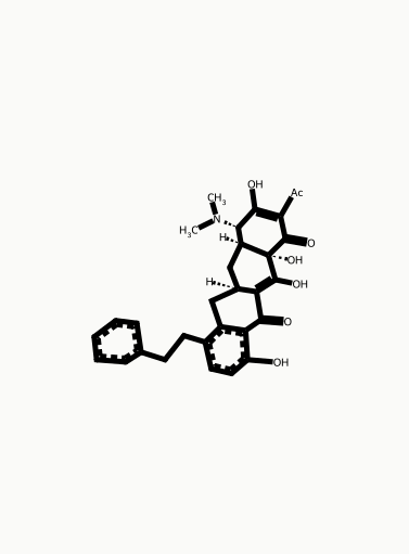 CC(=O)C1=C(O)[C@@H](N(C)C)[C@@H]2C[C@@H]3Cc4c(CCc5ccccc5)ccc(O)c4C(=O)C3=C(O)[C@]2(O)C1=O